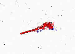 CCCCCCCCCCCCCCCC=CC=CC(=O)SCCNC(=O)CCNC(=O)[C@H](O)C(C)(C)COP(=O)(O)OP(=O)(O)OC[C@H]1O[C@@H](n2cnc3c(N)ncnc32)[C@H](O)[C@@H]1OP(=O)(O)O